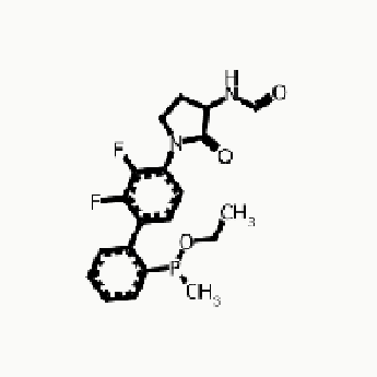 CCOP(C)c1ccccc1-c1ccc(N2CCC(NC=O)C2=O)c(F)c1F